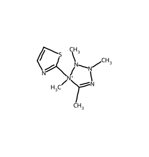 CC1=NN(C)N(C)[N+]1(C)c1nccs1